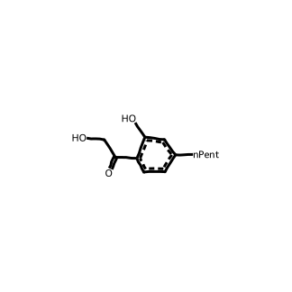 CCCCCc1ccc(C(=O)CO)c(O)c1